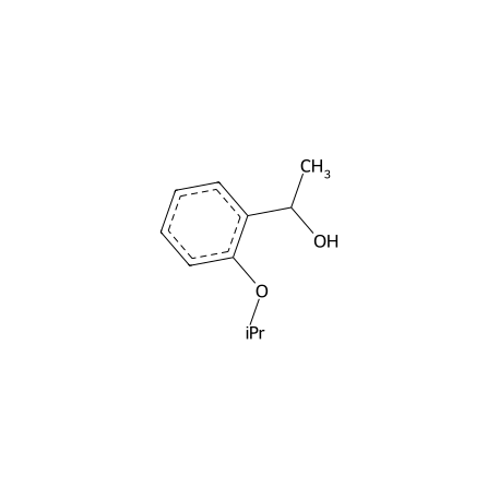 CC(C)Oc1ccccc1C(C)O